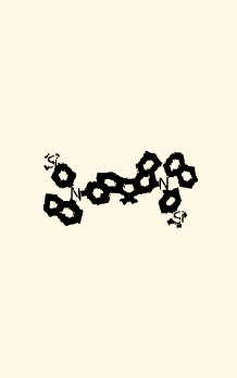 CC1(C)c2cc(N(c3ccc([Si](C)(C)C)cc3)c3cccc4ccccc34)c3ccccc3c2-c2ccc3cc(N(c4ccc([Si](C)(C)C)cc4)c4cccc5ccccc45)ccc3c21